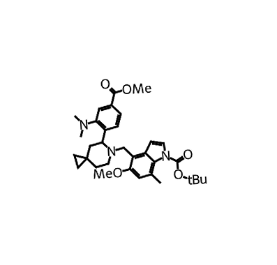 COC(=O)c1ccc(C2CC3(CCN2Cc2c(OC)cc(C)c4c2ccn4C(=O)OC(C)(C)C)CC3)c(N(C)C)c1